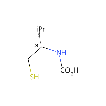 CC(C)[C@@H](CS)NC(=O)O